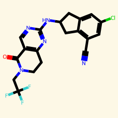 N#Cc1cc(Cl)cc2c1CC(Nc1ncc3c(n1)CCN(CC(F)(F)F)C3=O)C2